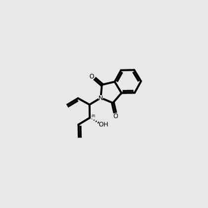 C=CC([C@H](O)C=C)N1C(=O)c2ccccc2C1=O